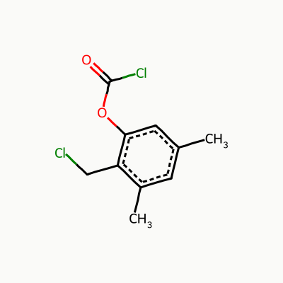 Cc1cc(C)c(CCl)c(OC(=O)Cl)c1